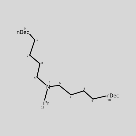 CCCCCCCCCCCCCCN(CCCCCCCCCCCCCC)C(C)C